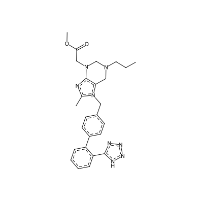 CCCN1Cc2c(nc(C)n2Cc2ccc(-c3ccccc3-c3nnn[nH]3)cc2)N(CC(=O)OC)C1